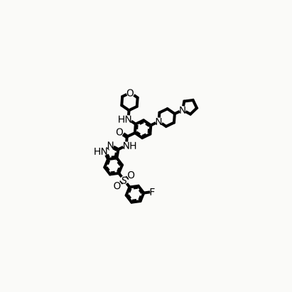 O=C(Nc1n[nH]c2ccc(S(=O)(=O)c3cccc(F)c3)cc12)c1ccc(N2CCC(N3CCCC3)CC2)cc1NC1CCOCC1